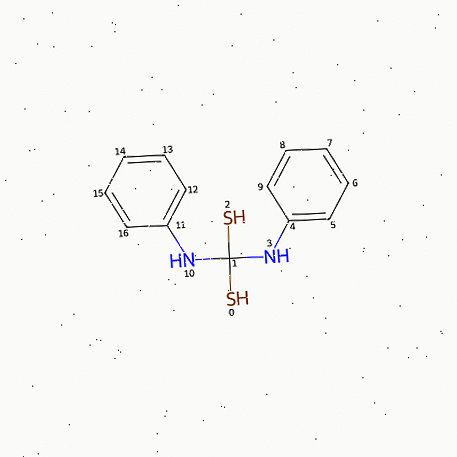 SC(S)(Nc1ccccc1)Nc1ccccc1